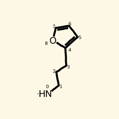 [NH]CCCc1ccco1